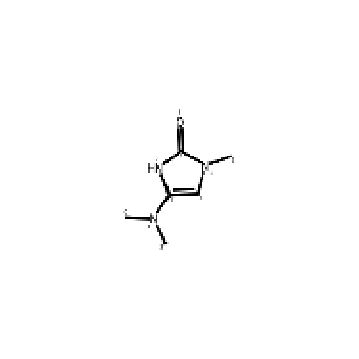 CN(C)c1cn(C)c(=O)[nH]1